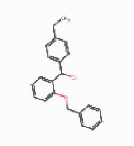 CCc1ccc(C(O)c2ccccc2OCc2ccccc2)cc1